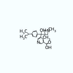 CC(C)c1ccc(C(O)(c2cncc(C(=O)O)c2)C2(C)CN(C)C2)cc1